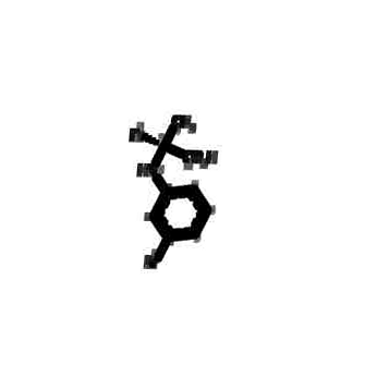 CC[C@@](C)(Nc1cccc(Br)c1)C(=O)O